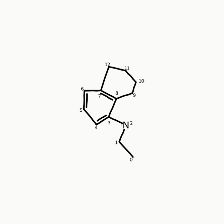 CC[N]c1cccc2c1CCCC2